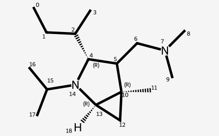 CCC(C)[C@@H]1C(CN(C)C)[C@@]2(C)C[C@H]2N1C(C)C